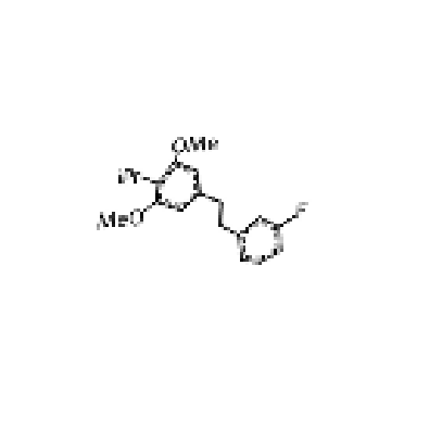 COc1cc(CCc2cccc(F)c2)cc(OC)c1C(C)C